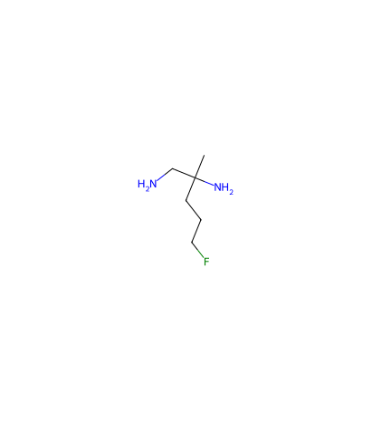 CC(N)(CN)CCCF